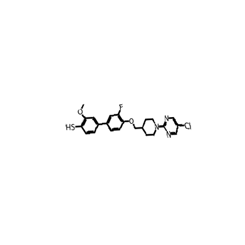 COc1cc(-c2ccc(OCC3CCN(c4ncc(Cl)cn4)CC3)c(F)c2)ccc1S